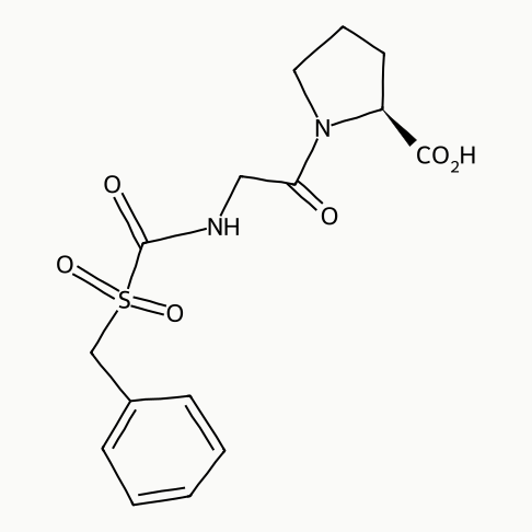 O=C(O)[C@@H]1CCCN1C(=O)CNC(=O)S(=O)(=O)Cc1ccccc1